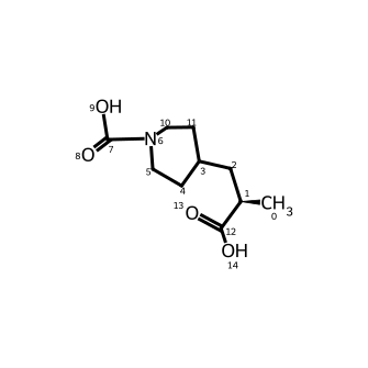 C[C@H](CC1CCN(C(=O)O)CC1)C(=O)O